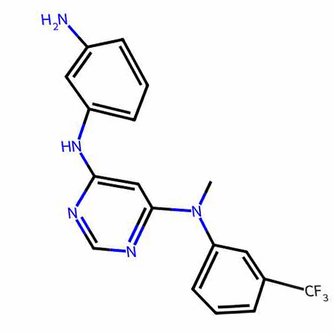 CN(c1cccc(C(F)(F)F)c1)c1cc(Nc2cccc(N)c2)ncn1